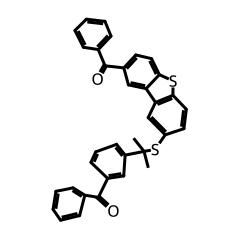 CC(C)(Sc1ccc2sc3ccc(C(=O)c4ccccc4)cc3c2c1)c1cccc(C(=O)c2ccccc2)c1